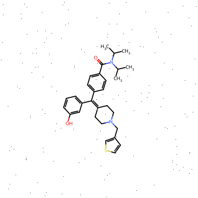 CC(C)N(C(=O)c1ccc(C(=C2CCN(Cc3ccsc3)CC2)c2cccc(O)c2)cc1)C(C)C